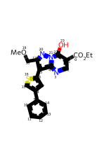 CCOC(=O)c1cnc2c(-c3cc(-c4ccccc4)cs3)c(COC)nn2c1O